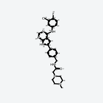 CN1CCN(CC(=O)NCc2ccc(-c3cc4c(Nc5ccc(F)c(Cl)c5)ncnc4[nH]3)cc2)CC1